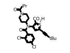 CC(C)C(=O)N1CCC(N(C(=O)c2ccc(Cl)cc2Cl)c2cc(C#CC(C)(C)C)sc2C(=O)O)CC1